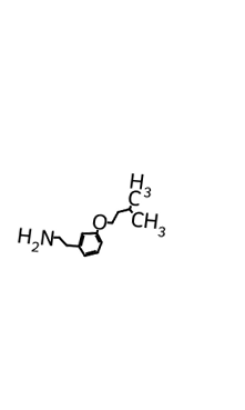 CC(C)CCOc1cccc(CCN)c1